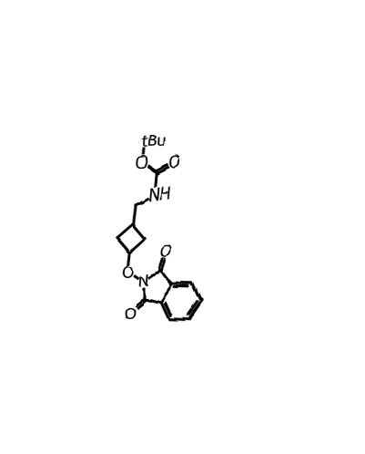 CC(C)(C)OC(=O)NCC1CC(ON2C(=O)c3ccccc3C2=O)C1